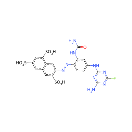 NC(=O)Nc1cc(Nc2nc(N)nc(F)n2)ccc1/N=N/c1cc2c(S(=O)(=O)O)cc(S(=O)(=O)O)cc2cc1S(=O)(=O)O